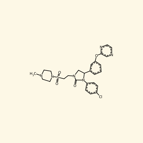 CN1CCN(S(=O)(=O)CCN2CC(c3cccc(Oc4cnccn4)c3)N(c3ccc(Cl)cc3)C2=O)CC1